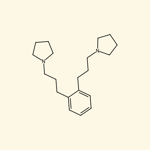 c1ccc(CCCN2CCCC2)c(CCCN2CCCC2)c1